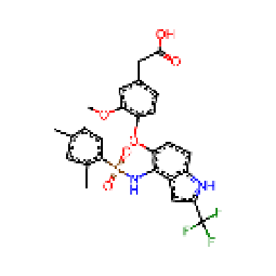 COc1cc(CC(=O)O)ccc1Oc1ccc2[nH]c(C(F)(F)F)cc2c1NS(=O)(=O)c1ccc(C)cc1C